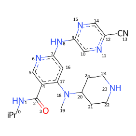 CC(C)NC(=O)c1cnc(Nc2cnc(C#N)cn2)cc1N(C)C1CCNCC1